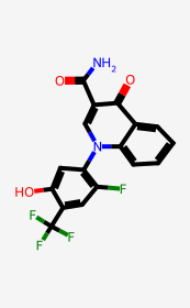 NC(=O)c1cn(-c2cc(O)c(C(F)(F)F)cc2F)c2ccccc2c1=O